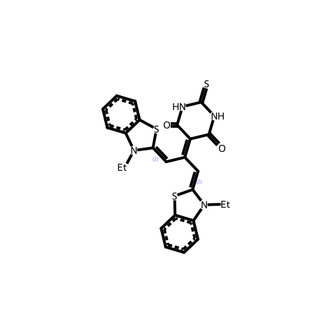 CCN1/C(=C/C(/C=C2\Sc3ccccc3N2CC)=C2C(=O)NC(=S)NC2=O)Sc2ccccc21